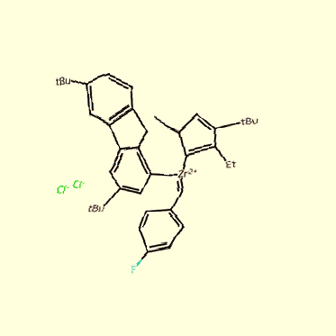 CCC1=[C](/[Zr+2](=[CH]/c2ccc(F)cc2)[c]2cc(C(C)(C)C)cc3c2Cc2ccc(C(C)(C)C)cc2-3)C(C)C=C1C(C)(C)C.[Cl-].[Cl-]